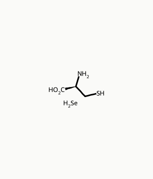 N[C@@H](CS)C(=O)O.[SeH2]